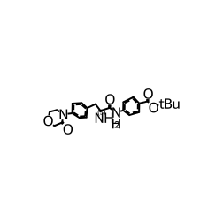 CC(C)(C)OC(=O)c1ccc(NC(=O)[C@@H](N)Cc2ccc(N3CCOCC3=O)cc2)cc1